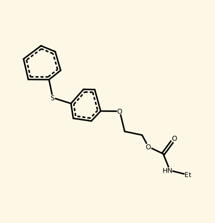 CCNC(=O)OCCOc1ccc(Sc2ccccc2)cc1